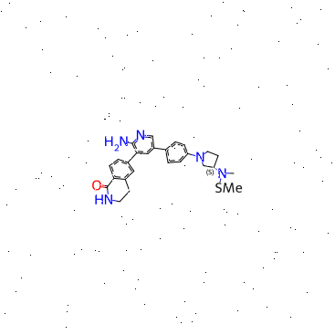 CSN(C)[C@H]1CCN(c2ccc(-c3cnc(N)c(-c4ccc5c(c4)CCNC5=O)c3)cc2)C1